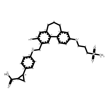 CS(=O)(=O)CCCOc1ccc2c(c1)CCCc1cc(F)c(COc3ccc(C4CC4C(=O)O)cc3)cc1-2